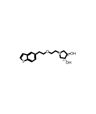 O[C@@H]1CN(CCOCCc2ccc3sccc3c2)C[C@H]1O